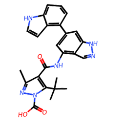 Cc1nn(C(=O)O)c(C(C)(C)C)c1C(=O)Nc1cc(-c2cccc3[nH]ccc23)cc2[nH]ncc12